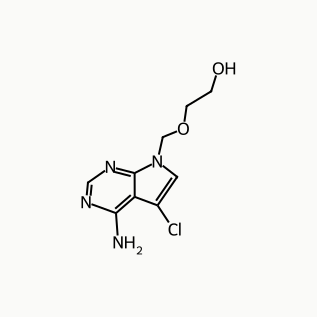 Nc1ncnc2c1c(Cl)cn2COCCO